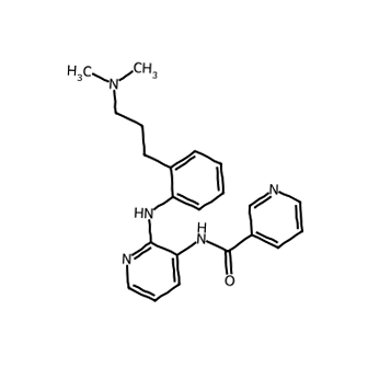 CN(C)CCCc1ccccc1Nc1ncccc1NC(=O)c1cccnc1